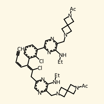 C#C/C=C\C(=C(\Cl)Cc1cnc(CN2CC3(C2)CN(C(C)=O)C3)c(NCC)n1)c1cccc(-c2cnc(CN3CC4(C3)CN(C(C)=O)C4)c(NCC)n2)c1Cl